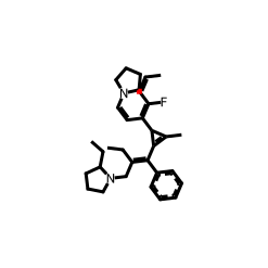 C\C=C/C(F)=C(\C=C/N1CCCC1)C1C(C)=C1/C(=C(\CC)CN1CCCC1CC)c1ccccc1